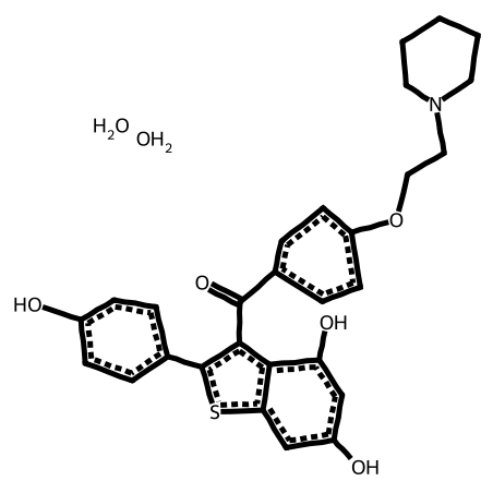 O.O.O=C(c1ccc(OCCN2CCCCC2)cc1)c1c(-c2ccc(O)cc2)sc2cc(O)cc(O)c12